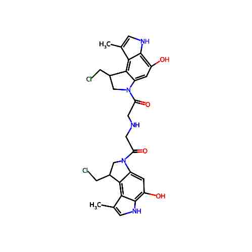 Cc1c[nH]c2c(O)cc3c(c12)C(CCl)CN3C(=O)CNCC(=O)N1CC(CCl)c2c1cc(O)c1[nH]cc(C)c21